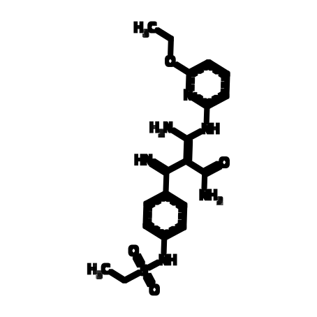 CCOc1cccc(N/C(N)=C(/C(=N)c2ccc(NS(=O)(=O)CC)cc2)C(N)=O)n1